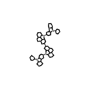 c1ccc(-n2c3ccccc3c3cc(-n4c5cccc6ccc7cc(-c8cc9ccc%10cccc%11c%10c9c(c8)n%11-c8ccc9c(c8)c8ccccc8n9-c8ccccc8)cc4c7c65)ccc32)cc1